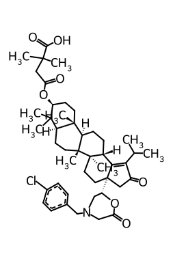 CC(C)C1=C2[C@H]3CC[C@@H]4[C@@]5(C)CC[C@H](OC(=O)CC(C)(C)C(=O)O)C(C)(C)[C@@H]5CC[C@@]4(C)[C@]3(C)CCC2([C@H]2CN(Cc3ccc(Cl)cc3)CC(=O)O2)CC1=O